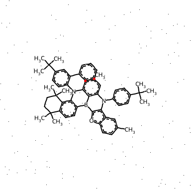 Cc1cc2c3c(c1)N(c1ccc(C(C)(C)C)cc1)c1c(oc4ccc(C)cc14)B3c1ccc3c(c1N2c1ccc(C(C)(C)C)cc1-c1ccccc1)C(C)(C)CCC3(C)C